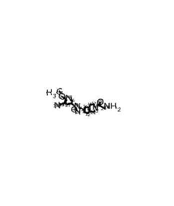 CCOc1ncc(-c2nc(-c3ccc4c(c3)CCN(C(=O)CN)CC4)no2)cc1C#N